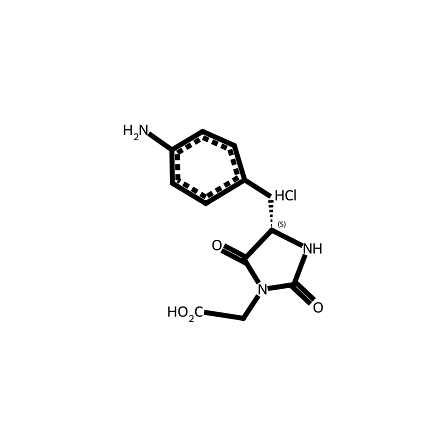 Cl.Nc1ccc(C[C@@H]2NC(=O)N(CC(=O)O)C2=O)cc1